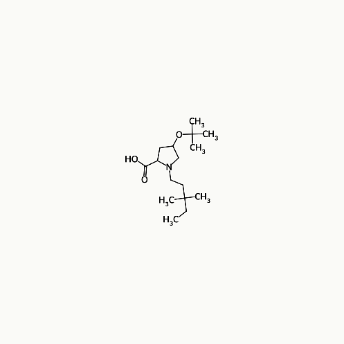 CCC(C)(C)CCN1CC(OC(C)(C)C)CC1C(=O)O